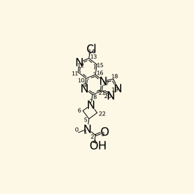 CN(C(=O)O)C1CN(c2nc3cnc(Cl)cc3n3cnnc23)C1